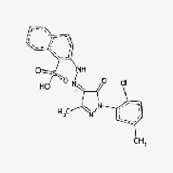 CC1=NN(c2cc(C)ccc2Cl)C(=O)/C1=N\Nc1ccc2ccccc2c1S(=O)(=O)O